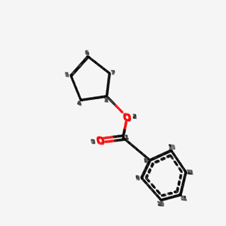 O=C(OC1CCCC1)c1ccccc1